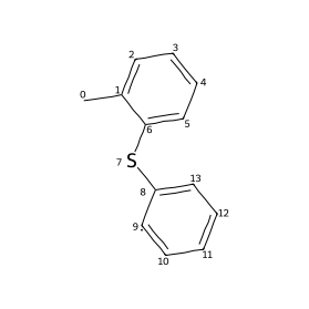 Cc1ccccc1Sc1[c]cccc1